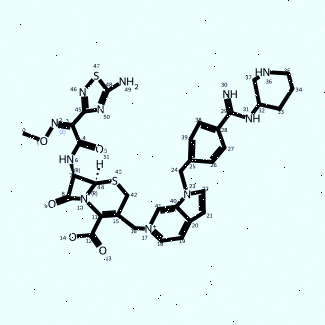 CO/N=C(\C(=O)N[C@@H]1C(=O)N2C(C(=O)[O-])=C(C[n+]3ccc4ccn(Cc5ccc(C(=N)NC6CCCNC6)cc5)c4c3)CS[C@H]12)c1nsc(N)n1